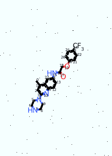 Cc1cc(N2CCNCC2)nc2ccc(NC(=O)COc3ccc(C(F)(F)F)cc3)cc12